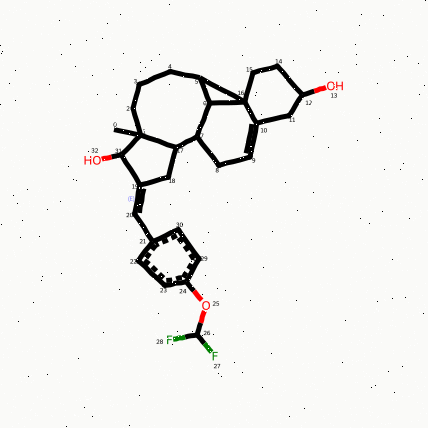 CC12CCCC3C4C(CC=C5CC(O)CCC534)C1C/C(=C\c1ccc(OC(F)F)cc1)C2O